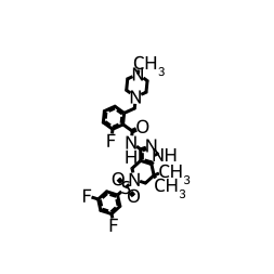 CN1CCN(Cc2cccc(F)c2C(=O)Nc2n[nH]c3c2CN(S(=O)(=O)c2cc(F)cc(F)c2)CC3(C)C)CC1